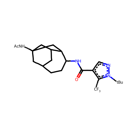 CC(=O)NC12CC3CCC(NC(=O)c4cnn(C(C)(C)C)c4C(F)(F)F)C(C1)C(C3)C2